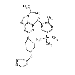 Cc1ccc(C(C)(C)C)cc1Nc1nc(N2CCC(Oc3ccncc3)CC2)nc2ncn(C(C)C)c12